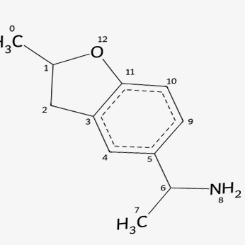 CC1Cc2cc(C(C)N)ccc2O1